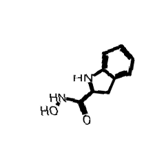 O=C(NO)C1Cc2ccccc2N1